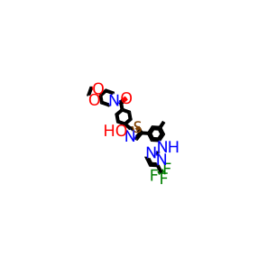 Cc1cc(Nc2nccc(C(F)(F)F)n2)cc(-c2cnc(C3(O)CCC(C(=O)N4CCC5(CC4)OCCO5)CC3)s2)c1